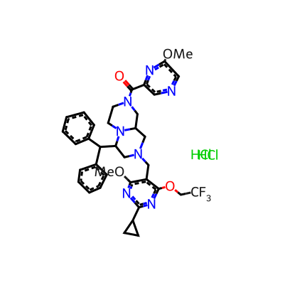 COc1cncc(C(=O)N2CCN3C(CN(Cc4c(OC)nc(C5CC5)nc4OCC(F)(F)F)CC3C(c3ccccc3)c3ccccc3)C2)n1.Cl.Cl